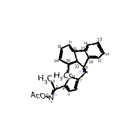 CC(=O)O/N=C(\C)c1ccc(/C=C2/c3ccccc3C3=CC=CC(C)C32)s1